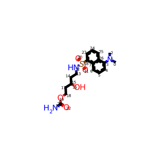 CN(C)c1cccc2c(S(=O)(=O)NCCC(O)CCOC(N)=O)cccc12